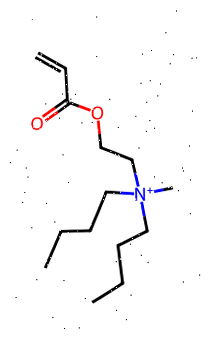 C=CC(=O)OCC[N+](C)(CCCC)CCCC